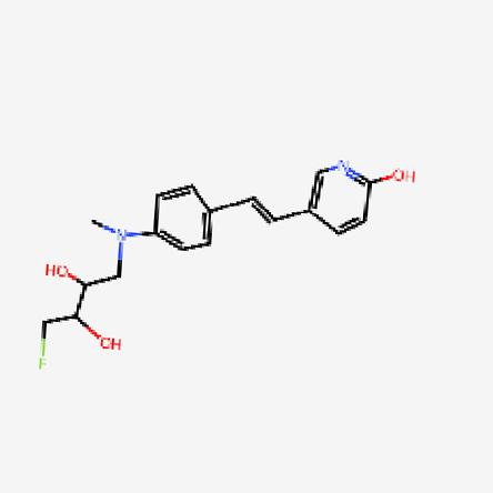 CN(CC(O)C(O)CF)c1ccc(/C=C/c2ccc(O)nc2)cc1